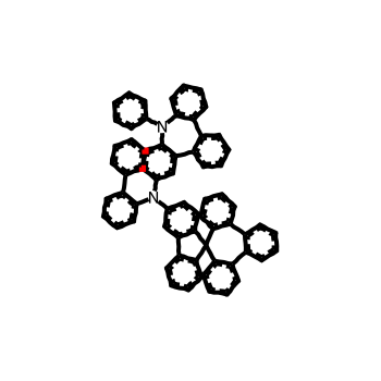 c1ccc(-c2ccccc2N(c2ccc3c(c2)-c2ccccc2-c2ccccc2N3c2ccccc2)c2ccc3c(c2)-c2ccccc2C32c3ccccc3-c3ccccc3-c3ccccc32)cc1